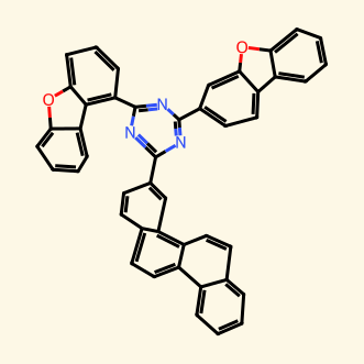 c1ccc2c(c1)ccc1c3cc(-c4nc(-c5ccc6c(c5)oc5ccccc56)nc(-c5cccc6oc7ccccc7c56)n4)ccc3ccc21